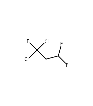 F[C](F)CC(F)(Cl)Cl